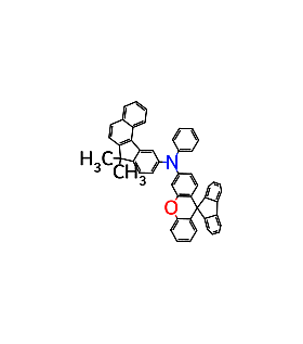 CC1(C)c2ccc(N(c3ccccc3)c3ccc4c(c3)Oc3ccccc3C43c4ccccc4-c4ccccc43)cc2-c2c1ccc1ccccc21